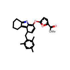 COC(=O)c1ccc(OC2=C3N=C4CCCCC4=C3C(Cc3c(C)cc(C)cc3C)C=C2)o1